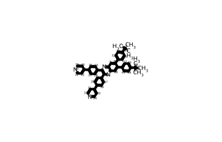 CC(C)(C)c1ccc(-c2cc3nc(-c4ccc(-c5ccncc5)cc4)c(-c4ccc(-c5ccncc5)cc4)nc3cc2-c2ccc(C(C)(C)C)cc2)cc1